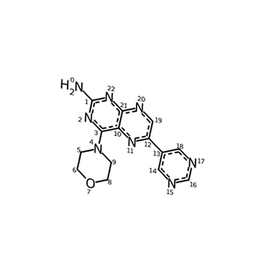 Nc1nc(N2CCOCC2)c2nc(-c3cncnc3)cnc2n1